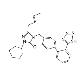 CC=CCc1nn(C2CCCCC2)c(=O)n1Cc1ccc(-c2ccccc2-c2nnn[nH]2)cc1